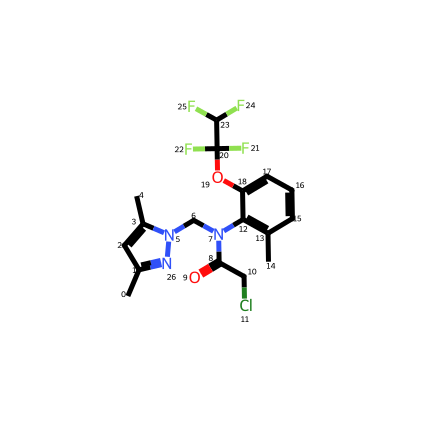 Cc1cc(C)n(CN(C(=O)CCl)c2c(C)cccc2OC(F)(F)C(F)F)n1